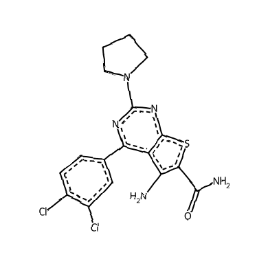 NC(=O)c1sc2nc(N3CCCC3)nc(-c3ccc(Cl)c(Cl)c3)c2c1N